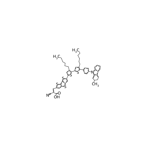 CCCCCCc1cc(-c2sc(-c3cc4sc5cc(/C=C(/C#N)C(=O)O)sc5c4s3)cc2CCCCCC)sc1-c1ccc(-n2c3c(c4ccccc42)=CCC(C)C=3)cc1